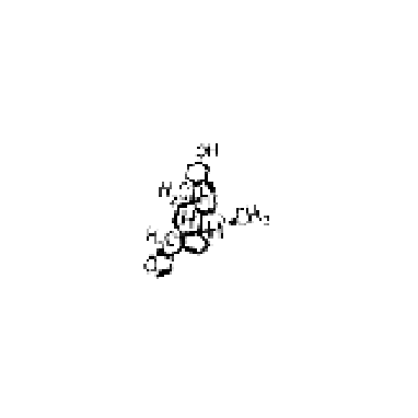 CC[C@H]1C=C2C[C@@H](O)CC[C@]2(C)[C@H]2CC[C@]3(C)C(c4ccoc4)=CC[C@H]3[C@H]12